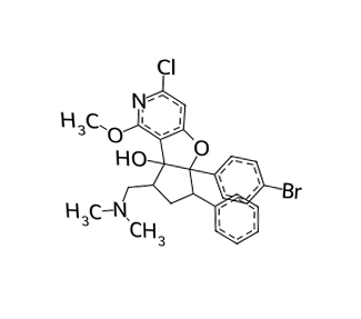 COc1nc(Cl)cc2c1C1(O)C(CN(C)C)CC(c3ccccc3)C1(c1ccc(Br)cc1)O2